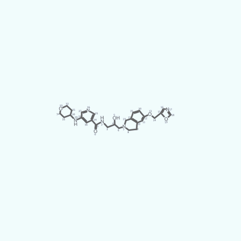 O=C(NCC(O)CN1CCc2cc(OCc3cnco3)ccc2C1)c1cncc(NC2CCOCC2)c1